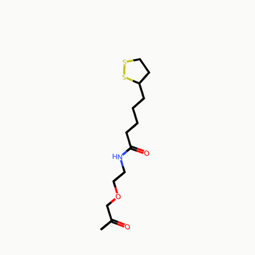 CC(=O)COCCNC(=O)CCCCC1CCSS1